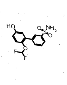 NS(=O)(=O)c1cccc(-c2cc(O)ccc2OC(F)F)c1